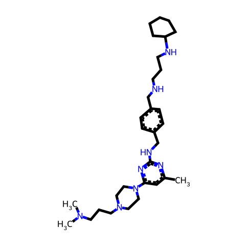 Cc1cc(N2CCN(CCCN(C)C)CC2)nc(NCc2ccc(CNCCCNC3CCCCC3)cc2)n1